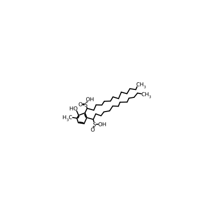 CCCCCCCCCCCCC(c1ccc(C)c(O)c1C(CCCCCCCCCCCC)S(=O)O)S(=O)O